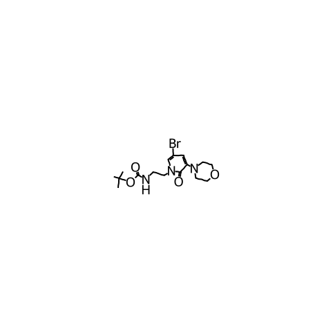 CC(C)(C)OC(=O)NCCn1cc(Br)cc(N2CCOCC2)c1=O